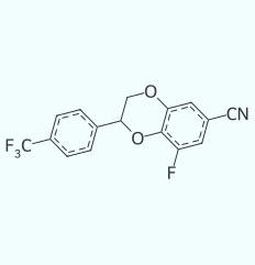 N#Cc1cc(F)c2c(c1)OCC(c1ccc(C(F)(F)F)cc1)O2